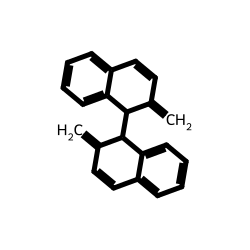 C=C1C=Cc2ccccc2C1C1C(=C)C=Cc2ccccc21